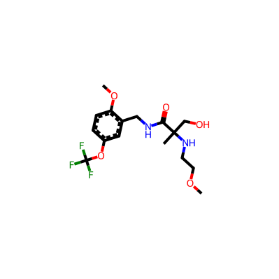 COCCNC(C)(CO)C(=O)NCc1cc(OC(F)(F)F)ccc1OC